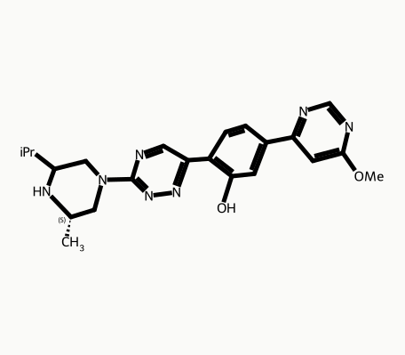 COc1cc(-c2ccc(-c3cnc(N4CC(C(C)C)N[C@@H](C)C4)nn3)c(O)c2)ncn1